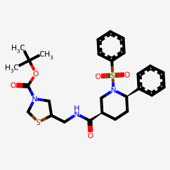 CC(C)(C)OC(=O)N1CSC(CNC(=O)[C@@H]2CC[C@H](c3ccccc3)N(S(=O)(=O)c3ccccc3)C2)C1